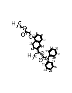 CCOC(=O)COc1cccc2c1CCC(C(C)OC(=O)N(c1ccccc1)c1ccccc1)=C2